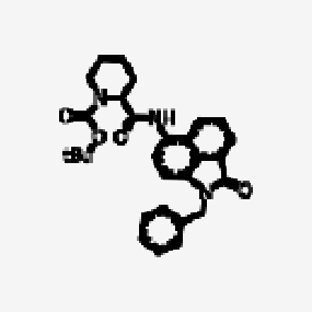 CC(C)(C)OC(=O)N1CCCCC1C(=O)Nc1ccc2c3c(cccc13)C(=O)N2Cc1ccccc1